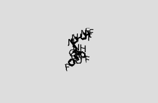 O=C(NCc1cc(-c2ccc(C(F)(F)F)nc2)ncn1)C1C2CC(F)C(C2)N1S(=O)(=O)c1ccc(F)cc1